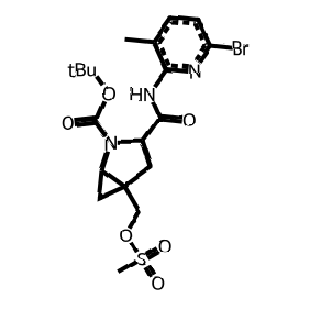 Cc1ccc(Br)nc1NC(=O)C1CC2(COS(C)(=O)=O)CC2N1C(=O)OC(C)(C)C